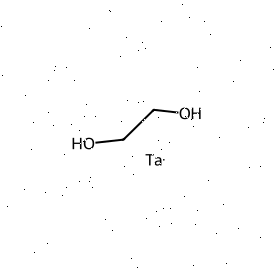 OCCO.[Ta]